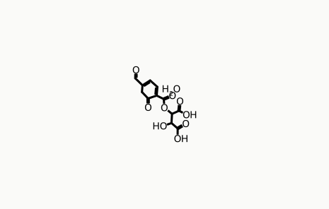 O.O=CC1=CC=C(C(=O)OC(C(=O)O)C(O)C(=O)O)C(=O)C1